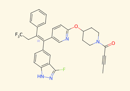 CC#CC(=O)N1CCC(Oc2ccc(/C(=C(/CC(F)(F)F)c3ccccc3)c3ccc4[nH]nc(F)c4c3)cn2)CC1